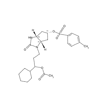 CC(=O)OC(CCN1C(=O)N[C@@H]2C[C@H](OS(=O)(=O)c3ccc(C)cc3)C[C@@H]21)C1CCCCC1